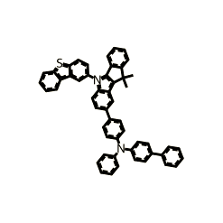 CC1(C)c2ccccc2-c2c1c1cc(-c3ccc(N(c4ccccc4)c4ccc(-c5ccccc5)cc4)cc3)ccc1n2-c1ccc2sc3ccccc3c2c1